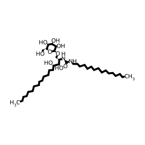 CCCCCCCCCCCCCCCCNC(=O)N[C@@H](CO[C@H]1O[C@H](CO)[C@H](O)[C@H](O)[C@H]1O)[C@H](O)[C@H](O)CCCCCCCCCCCCCC